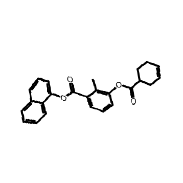 Cc1c(OC(=O)C2CC=CCC2)cccc1C(=O)Oc1cccc2ccccc12